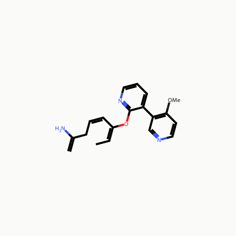 C=C(N)C/C=C\C(=C/C)Oc1ncccc1-c1cnccc1OC